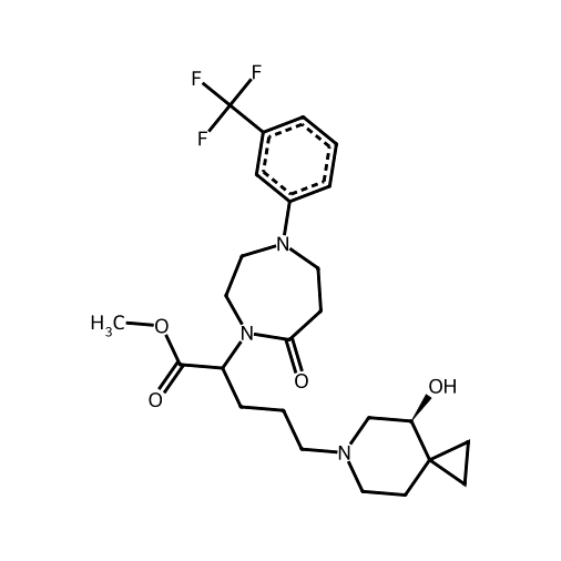 COC(=O)C(CCCN1CCC2(CC2)[C@H](O)C1)N1CCN(c2cccc(C(F)(F)F)c2)CCC1=O